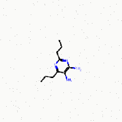 CCCc1nc(N)c(N)c(CCC)n1